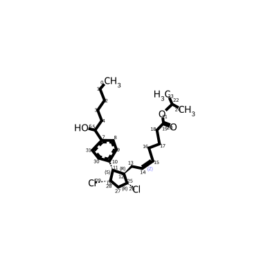 CCCCCC(O)c1ccc([C@@H]2[C@@H](C/C=C\CCCC(=O)OC(C)C)[C@H](Cl)C[C@@H]2Cl)cc1